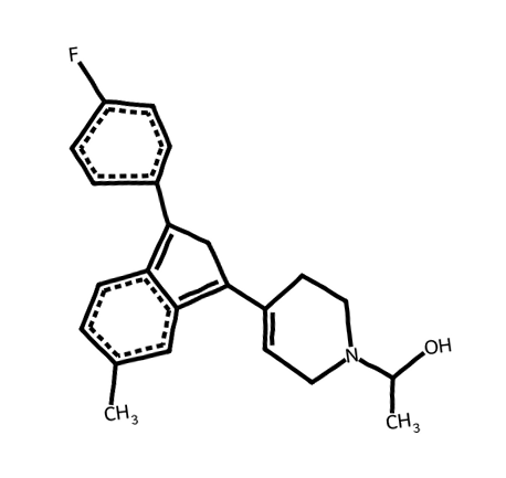 Cc1ccc2c(c1)=C(C1=CCN(C(C)O)CC1)CC=2c1ccc(F)cc1